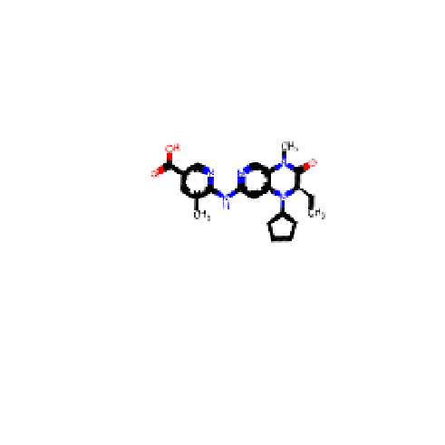 CC[C@@H]1C(=O)N(C)c2cnc(Nc3ncc(C(=O)O)cc3C)cc2N1C1CCCC1